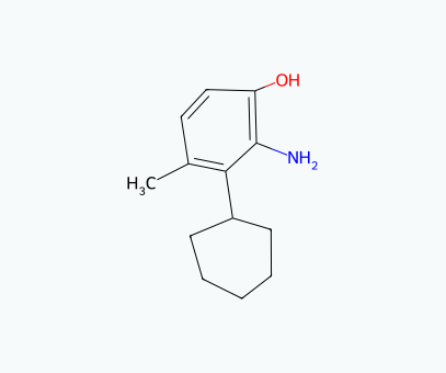 Cc1ccc(O)c(N)c1C1CCCCC1